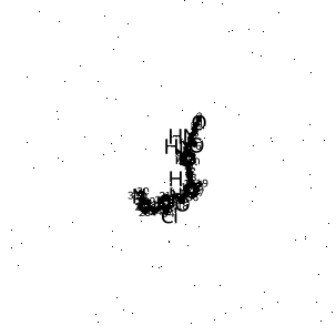 COCCNC(=O)Nc1ccc(C#Cc2cc(C(=O)Nc3ccc(CN4CCC(N(C)C)C4)c(Cl)c3)ccc2C)cn1